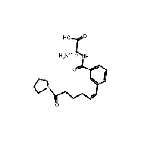 N[C@@H](NC(=O)c1cccc(/C=C\CCCC(=O)N2CCCC2)c1)C(=O)O